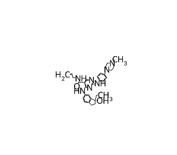 C=CCNC(=O)c1cnc(Nc2ccc(N3CCN(C)CC3)cc2)nc1Nc1ccc2c(c1)[C@@](O)(CC)CC2